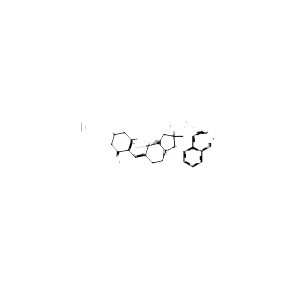 CC(=O)OC1(C)C[C@H]2[C@@H]3OC4=C(C=C3CC[C@]2(C)[C@H]1c1cccc2cnccc12)C(=O)CC(C(=O)O)C4